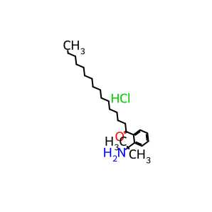 CCCCCCCCCCCCCCCC(=O)c1ccccc1C(C)(C)N.Cl